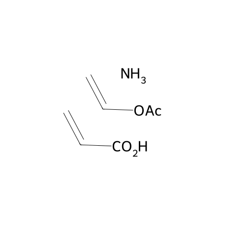 C=CC(=O)O.C=COC(C)=O.N